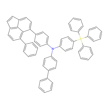 C1=Cc2ccc(-c3ccc(N(c4ccc(-c5ccccc5)cc4)c4ccc(S(c5ccccc5)(c5ccccc5)c5ccccc5)cc4)cc3)c3c(-c4ccccc4)ccc1c23